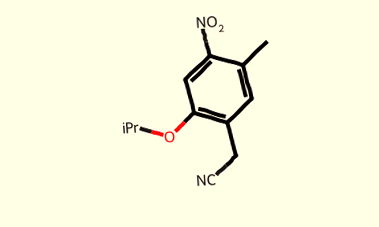 Cc1cc(CC#N)c(OC(C)C)cc1[N+](=O)[O-]